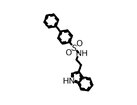 O=S(=O)(NCCc1c[nH]c2ccccc12)c1ccc(-c2ccccc2)cc1